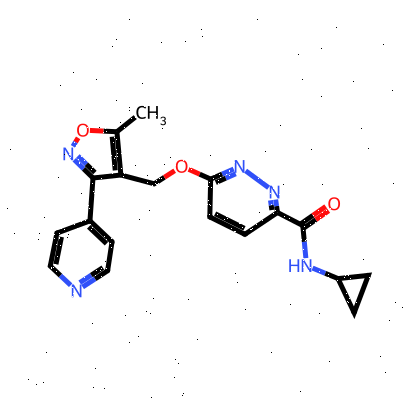 Cc1onc(-c2ccncc2)c1COc1ccc(C(=O)NC2CC2)nn1